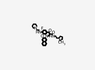 CN1CCCC1CCNC(=O)c1cn2c3c(c(NCCN4CCCCC4)c(F)cc3c1=O)Oc1cc3ccccc3cc1-2